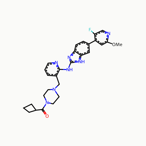 COc1cc(-c2ccc3nc(Nc4ncccc4CN4CCN(C(=O)C5CCC5)CC4)[nH]c3c2)c(F)cn1